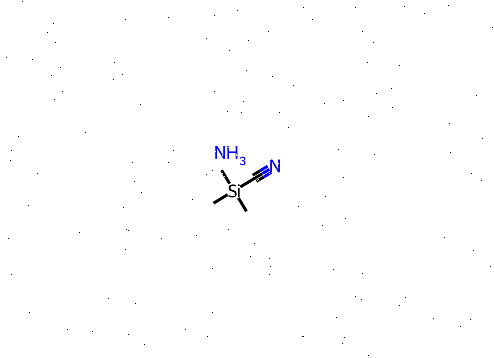 C[Si](C)(C)C#N.N